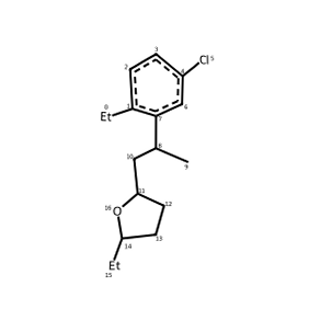 CCc1ccc(Cl)cc1C(C)CC1CCC(CC)O1